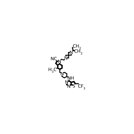 C=CC(=C)N1CC2(CN(CCn3c(C#N)cc4c(C)c(CN5CCC(Nc6ncnc7sc(CC(F)(F)F)cc67)CC5)ccc43)C2)C1